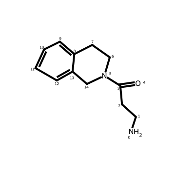 NCCC(=O)N1CCc2ccccc2C1